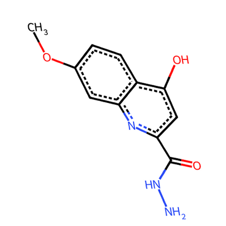 COc1ccc2c(O)cc(C(=O)NN)nc2c1